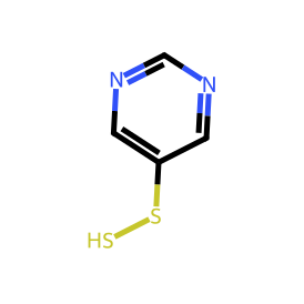 SSc1cncnc1